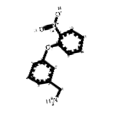 NCc1cccc(Oc2ccccc2[N+](=O)[O-])c1